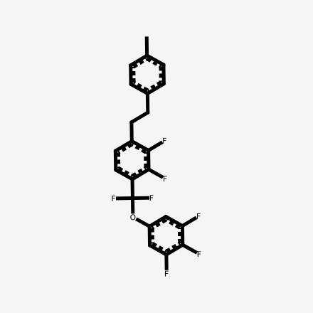 Cc1ccc(CCc2ccc(C(F)(F)Oc3cc(F)c(F)c(F)c3)c(F)c2F)cc1